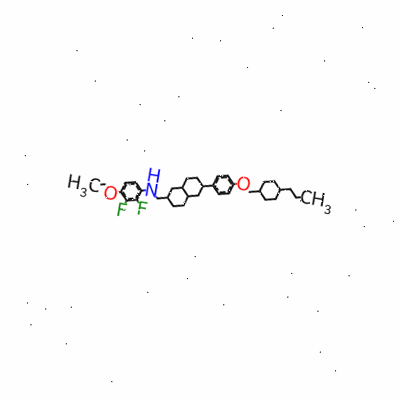 CCCC1CCC(COc2ccc(C3CCC4CC(CNc5ccc(OCC)c(F)c5F)CCC4C3)cc2)CC1